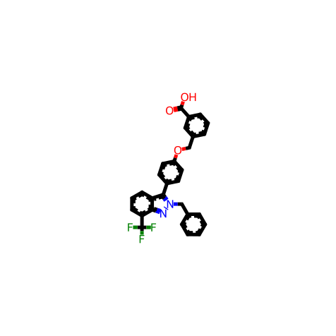 O=C(O)c1cccc(COc2ccc(-c3c4cccc(C(F)(F)F)c4nn3Cc3ccccc3)cc2)c1